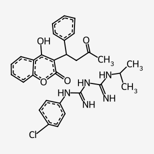 CC(=O)CC(c1ccccc1)c1c(O)c2ccccc2oc1=O.CC(C)NC(=N)NC(=N)Nc1ccc(Cl)cc1